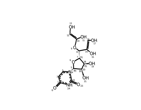 O=c1ccn([C@@H]2O[C@H](C(OC(O)=CO)C(O)=CO)[C@@H](O)[C@H]2O)c(=O)[nH]1